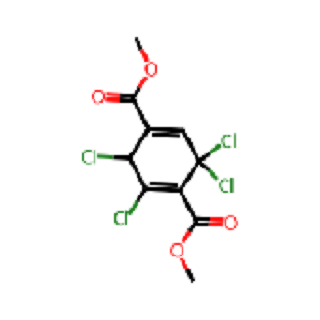 COC(=O)C1=CC(Cl)(Cl)C(C(=O)OC)=C(Cl)C1Cl